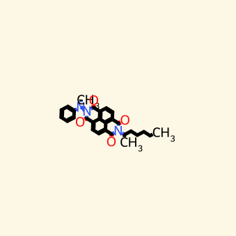 CCCCCC(C)N1C(=O)c2ccc3c4c(ccc(c24)C1=O)C(=O)N(N(C)c1ccccc1)C3=O